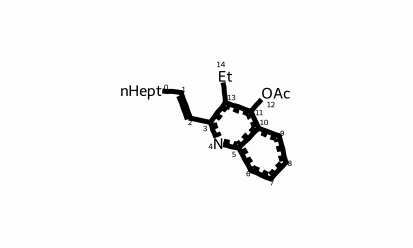 CCCCCCCC=Cc1nc2ccccc2c(OC(C)=O)c1CC